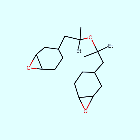 CCC(C)(CC1CCC2OC2C1)OC(C)(CC)CC1CCC2OC2C1